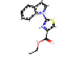 CCOC(=O)c1csc(-n2ccc3ccccc32)n1